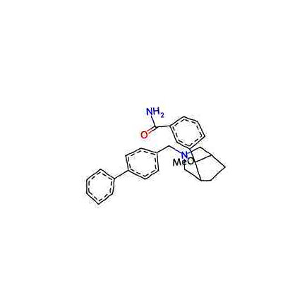 COC1(c2cccc(C(N)=O)c2)C2CCC1CN(Cc1ccc(-c3ccccc3)cc1)C2